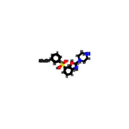 COc1cccc(S(=O)(=O)c2cccc3nc(N4CCNCC4)oc23)c1